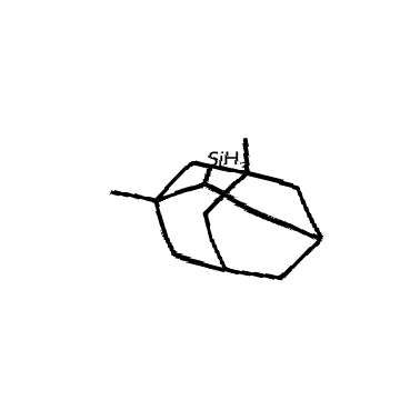 CC12CC3CC(C1)C([SiH3])C(C)(C3)C2